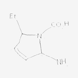 CCC1C=CC(N)N1C(=O)O